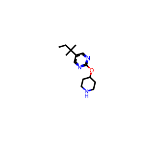 CCC(C)(C)c1cnc(OC2CCNCC2)nc1